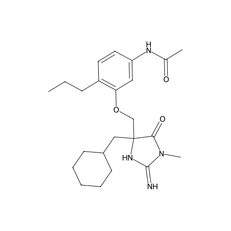 CCCc1ccc(NC(C)=O)cc1OCC1(CC2CCCCC2)NC(=N)N(C)C1=O